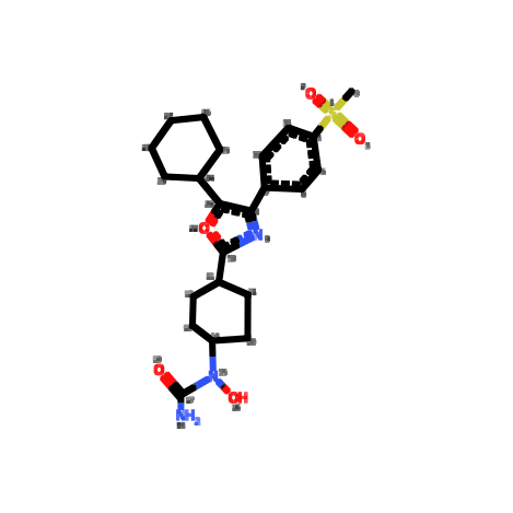 CS(=O)(=O)c1ccc(-c2nc(C3CCC(N(O)C(N)=O)CC3)oc2C2CCCCC2)cc1